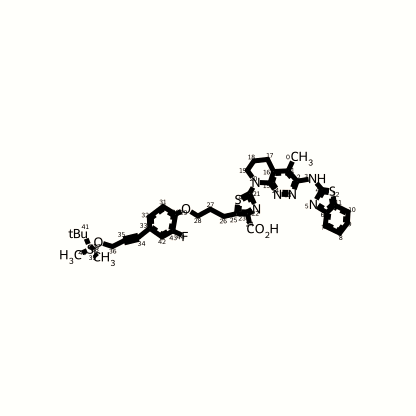 Cc1c(Nc2nc3ccccc3s2)nnc2c1CCCN2c1nc(C(=O)O)c(CCCOc2ccc(C#CCO[Si](C)(C)C(C)(C)C)cc2F)s1